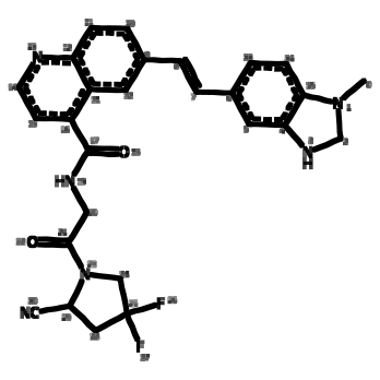 CN1CNc2cc(C=Cc3ccc4nccc(C(=O)NCC(=O)N5CC(F)(F)CC5C#N)c4c3)ccc21